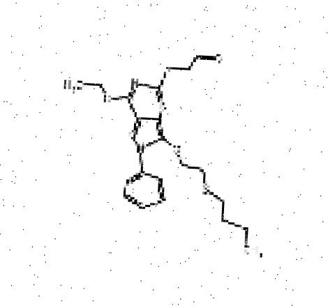 CCCCSCCOc1c2nc(SCC=O)nc(OCC)c2nn1-c1ccccc1